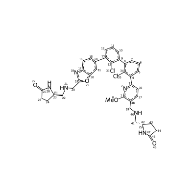 COc1nc(-c2cccc(-c3cccc(-c4ccc5nc(CNC[C@H]6CCC(=O)N6)oc5c4)c3Cl)c2Cl)ccc1CNC[C@@H]1CCC(=O)N1